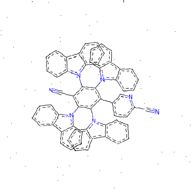 N#Cc1ccc(-c2c(-n3c4ccccc4c4ccccc43)c(-n3c4ccccc4c4ccccc43)c(C#N)c(-n3c4ccccc4c4ccccc43)c2-n2c3ccccc3c3ccccc32)cn1